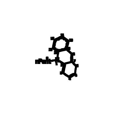 CCCCCN1C2=CC=CCC2=Cc2ccccc21